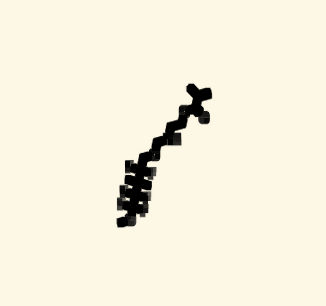 C=C(C)C(=O)OCCNCOCC(F)(F)C(C)(C)C(F)(F)C(F)(F)OC